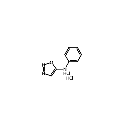 Cl.Cl.c1ccc(Nc2cnno2)cc1